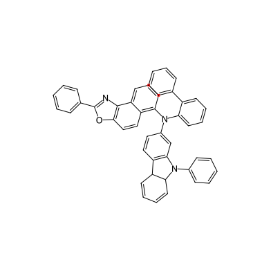 C1=CC2c3ccc(N(c4ccccc4-c4ccccc4)c4cccc5c4ccc4oc(-c6ccccc6)nc45)cc3N(c3ccccc3)C2C=C1